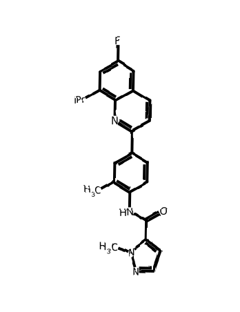 Cc1cc(-c2ccc3cc(F)cc(C(C)C)c3n2)ccc1NC(=O)c1ccnn1C